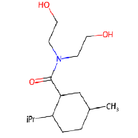 CC1CCC(C(C)C)C(C(=O)N(CCO)CCO)C1